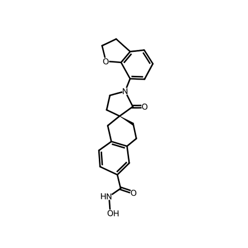 O=C(NO)c1ccc2c(c1)CC[C@]1(CCN(c3cccc4c3OCC4)C1=O)C2